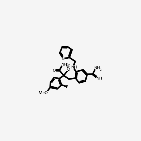 CCOC(Cc1ccc(C(=N)N)cc1NCc1ccccn1)(C(N)=O)c1ccc(OC)cc1F